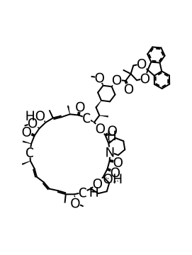 CO[C@H]1C[C@@H]2CC[C@@H](C)[C@@](O)(O2)C(=O)C(=O)N2CCCC[C@H]2C(=O)O[C@H]([C@H](C)C[C@@H]2CC[C@@H](OC(=O)C3(C)COC4(OC3)c3ccccc3-c3ccccc34)[C@H](OC)C2)CC(=O)[C@H](C)/C=C(\C)[C@@H](O)[C@@H](OC)C(=O)[C@H](C)C[C@H](C)/C=C/C=C/C=C/1C